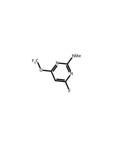 CNc1nc(F)cc(OC(F)(F)F)n1